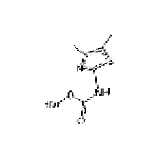 Cc1nc(NC(=O)OC(C)(C)C)sc1C